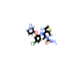 CC1=C(Nc2ccc(Cl)cc2OC2CCCNC2)c2ccsc2CN1C(N)=O